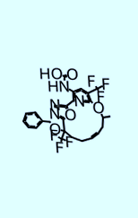 CC1CC=CCCC(OCc2ccccc2)(C(F)(F)F)c2nnc(o2)-c2nc(c(C(F)(F)F)cc2NC(=O)O)O1